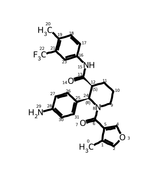 Cc1cocc1C(=O)N1CCC[C@H](C(=O)Nc2ccc(C)c(C(F)(F)F)c2)[C@@H]1c1ccc(N)cc1